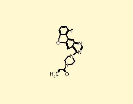 C=CC(=O)N1CCN(c2ncnc3cc(-c4c(F)cccc4F)c(Cl)cc23)CC1